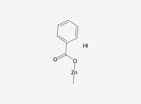 I.[CH3][Zn][O]C(=O)c1ccccc1